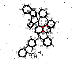 CC1(C)c2ccccc2-c2ccc(N(c3ccc4c(c3)-c3ccccc3-c3ccccc3C43c4ccccc4-c4c3ccc3ccccc43)c3ccccc3-c3ccccc3)cc21